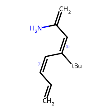 C=C/C=C\C(=C/C(=C)N)C(C)(C)C